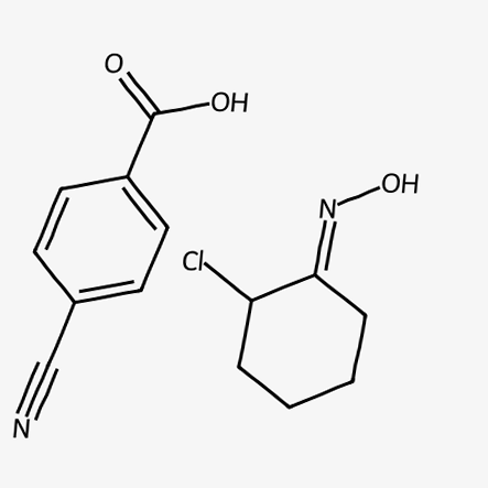 N#Cc1ccc(C(=O)O)cc1.ON=C1CCCCC1Cl